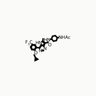 CC(=O)NC1CCC(NC(=O)c2c(C)[nH]c3c(-c4cc(C(F)(F)F)ccc4OCC4CC4)ncnc23)CC1